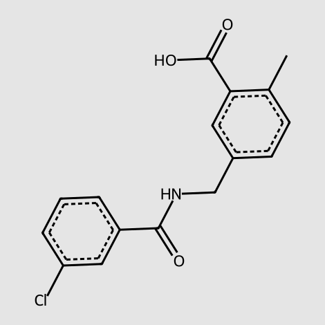 Cc1ccc(CNC(=O)c2cccc(Cl)c2)cc1C(=O)O